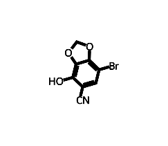 N#Cc1cc(Br)c2c(c1O)OCO2